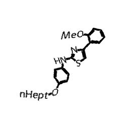 CCCCCCCOc1ccc(Nc2nc(-c3ccccc3OC)cs2)cc1